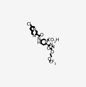 O=C(N[C@H]1CC[C@H](c2nnc(OCCOC(F)(F)F)o2)N(C(=O)O)C1)c1cn2cc(Cl)cc2cn1